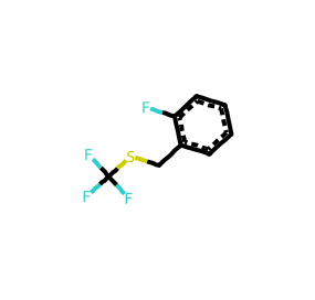 Fc1ccccc1CSC(F)(F)F